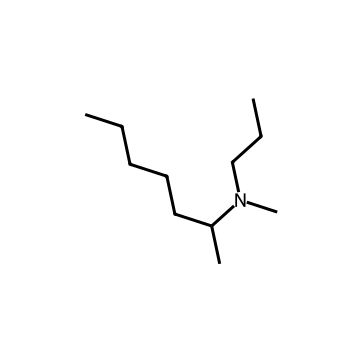 CCCCCC(C)N(C)CCC